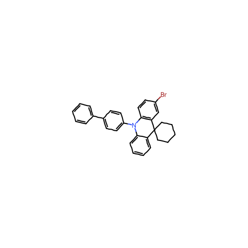 Brc1ccc2c(c1)C1(CCCCC1)c1ccccc1N2c1ccc(-c2ccccc2)cc1